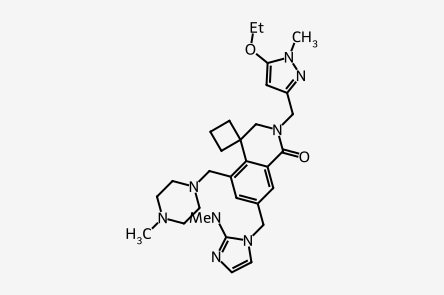 CCOc1cc(CN2CC3(CCC3)c3c(CN4CCN(C)CC4)cc(Cn4ccnc4NC)cc3C2=O)nn1C